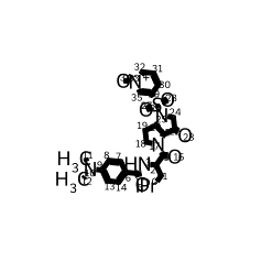 CC(C)CC(NC(=O)c1ccc(N(C)C)cc1)C(=O)N1CCC2C1C(=O)CN2S(=O)(=O)c1ccc[n+]([O-])c1